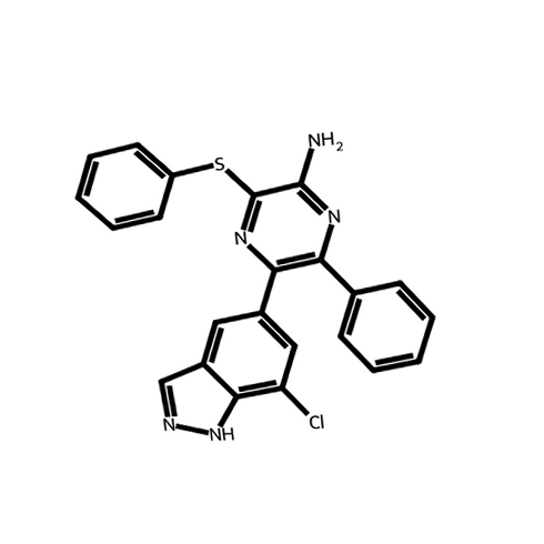 Nc1nc(-c2ccccc2)c(-c2cc(Cl)c3[nH]ncc3c2)nc1Sc1ccccc1